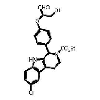 CCOC(=O)N1CCc2c([nH]c3ccc(Cl)cc23)C1c1ccc(OC(C=O)CO)cc1